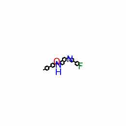 Cc1ccc(-c2ccc(C(=O)Nc3ccc4cc(CN5CCC(c6ccc(F)cc6)CC5)ccc4c3)cc2)cc1